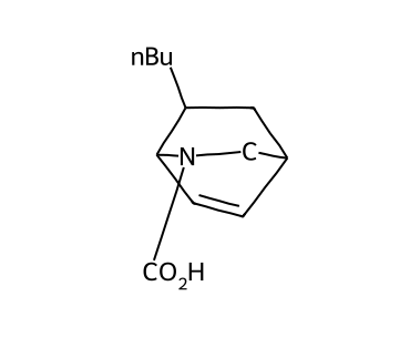 CCCCC1CC2C=CC1N(C(=O)O)C2